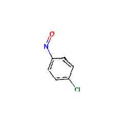 O=Nc1ccc(Cl)cc1